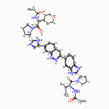 CCC(CC)[C@H](NC(=O)OC)C(=O)N1CCC[C@H]1c1nc2ccc(-c3cc4ccc(-c5cnc([C@@H]6CCCN6C(=O)[C@@H](NC(=O)OC)C6CCOCC6)[nH]5)cc4nn3)cc2[nH]1